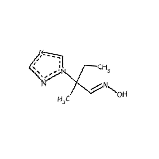 CCC(C)(C=NO)n1cncn1